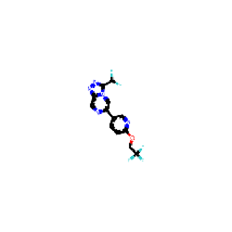 FC(F)c1nnc2cnc(-c3ccc(OCC(F)(F)F)nc3)cn12